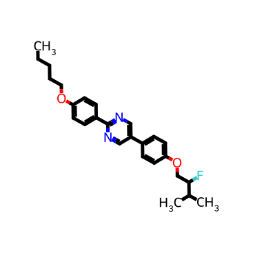 CCCCCOc1ccc(-c2ncc(-c3ccc(OCC(F)C(C)C)cc3)cn2)cc1